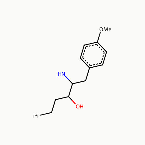 COc1ccc(CC([NH])C(O)CCC(C)C)cc1